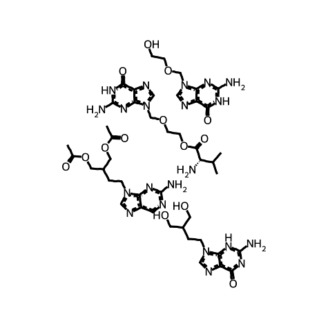 CC(=O)OCC(CCn1cnc2cnc(N)nc21)COC(C)=O.CC(C)[C@H](N)C(=O)OCCOCn1cnc2c(=O)[nH]c(N)nc21.Nc1nc(=O)c2ncn(CCC(CO)CO)c2[nH]1.Nc1nc2c(ncn2COCCO)c(=O)[nH]1